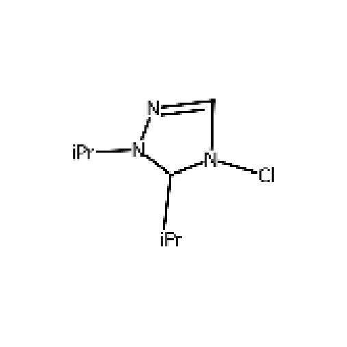 CC(C)C1N(Cl)C=NN1C(C)C